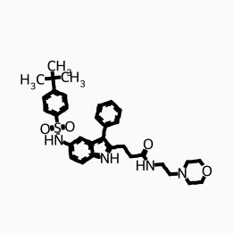 CC(C)(C)c1ccc(S(=O)(=O)Nc2ccc3[nH]c(CCC(=O)NCCN4CCOCC4)c(-c4ccccc4)c3c2)cc1